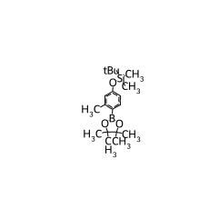 Cc1cc(O[Si](C)(C)C(C)(C)C)ccc1B1OC(C)(C)C(C)(C)O1